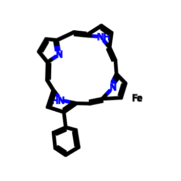 C1=Cc2cc3cc(-c4ccccc4)c(cc4nc(cc5ccc(cc1n2)[nH]5)C=C4)[nH]3.[Fe]